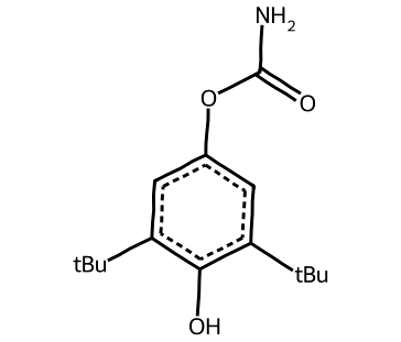 CC(C)(C)c1cc(OC(N)=O)cc(C(C)(C)C)c1O